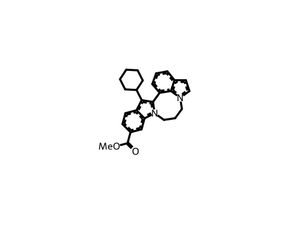 COC(=O)c1ccc2c(C3CCCCC3)c3n(c2c1)CCCn1ccc2cccc-3c21